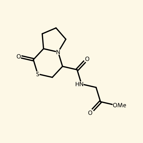 COC(=O)CNC(=O)C1CSC(=O)C2CCCN12